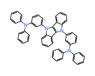 c1ccc(N(c2ccccc2)c2cccc(-n3c4ccccc4c4c3c3ccccc3n4-c3cccc(N(c4ccccc4)c4ccccc4)c3)c2)cc1